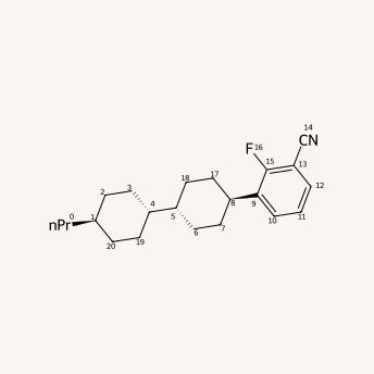 CCC[C@H]1CC[C@H]([C@H]2CC[C@H](c3cccc(C#N)c3F)CC2)CC1